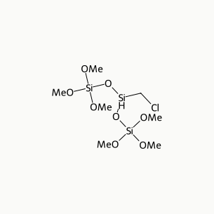 CO[Si](OC)(OC)O[SiH](CCl)O[Si](OC)(OC)OC